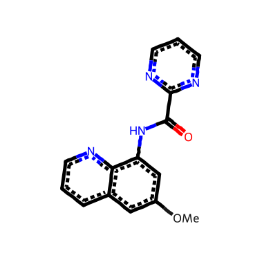 COc1cc(NC(=O)c2ncccn2)c2ncccc2c1